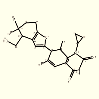 CC1c2c(c(=O)[nH]c(=O)n2C2CC2)C=C(F)C1c1cc2c(s1)CCC(F)(F)C2CO